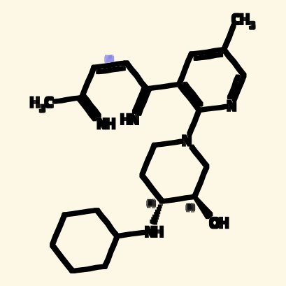 CC(=N)/C=C\C(=N)c1cc(C)cnc1N1CC[C@@H](NC2CCCCC2)[C@H](O)C1